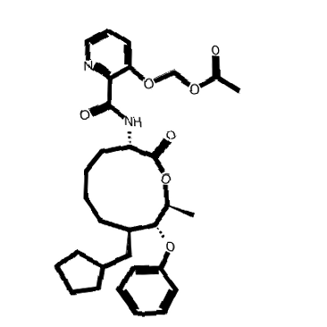 CC(=O)OCOc1cccnc1C(=O)N[C@H]1CCCC[C@H](CC2CCCC2)[C@@H](Oc2ccccc2)[C@H](C)OC1=O